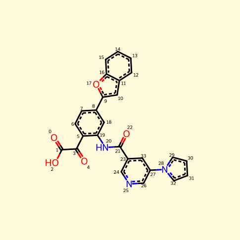 O=C(O)C(=O)c1ccc(-c2cc3ccccc3o2)cc1NC(=O)c1cncc(-n2cccc2)c1